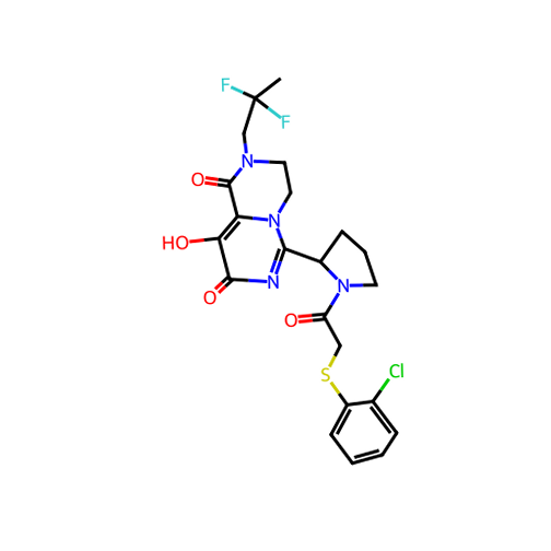 CC(F)(F)CN1CCn2c(C3CCCN3C(=O)CSc3ccccc3Cl)nc(=O)c(O)c2C1=O